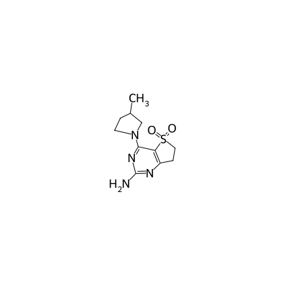 CC1CCN(c2nc(N)nc3c2S(=O)(=O)CC3)C1